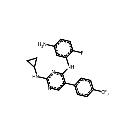 Nc1ccc(F)c(Nc2nc(NC3CC3)ncc2-c2ccc(C(F)(F)F)cc2)c1